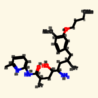 COCCCOc1cc(CC(CC(N)C(O)CC(C(=O)Nc2cccc(C)n2)C(C)C)C(C)C)ccc1OC